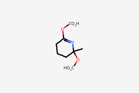 CC1(OC(=O)O)CCCC(OC(=O)O)=N1